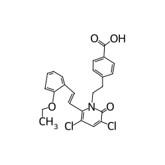 CCOc1ccccc1/C=C/c1c(Cl)cc(Cl)c(=O)n1CCc1ccc(C(=O)O)cc1